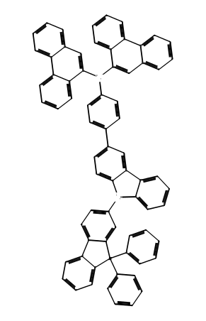 c1ccc(C2(c3ccccc3)c3ccccc3-c3ccc(-n4c5ccccc5c5cc(-c6ccc(N(c7cc8ccccc8c8ccccc78)c7cc8ccccc8c8ccccc78)cc6)ccc54)cc32)cc1